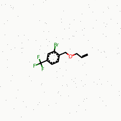 C=CCOCc1ccc(C(F)(F)F)cc1Br